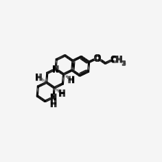 CCOc1ccc2c(c1)CCN1C[C@@H]3CCCN[C@@H]3C[C@H]21